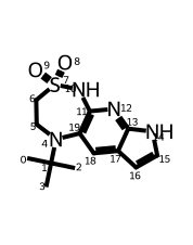 CC(C)(C)N1CCS(=O)(=O)Nc2nc3[nH]ccc3cc21